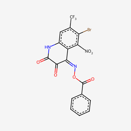 O=C1Nc2cc(C(F)(F)F)c(Br)c([N+](=O)[O-])c2C(=NOC(=O)c2ccccc2)C1=O